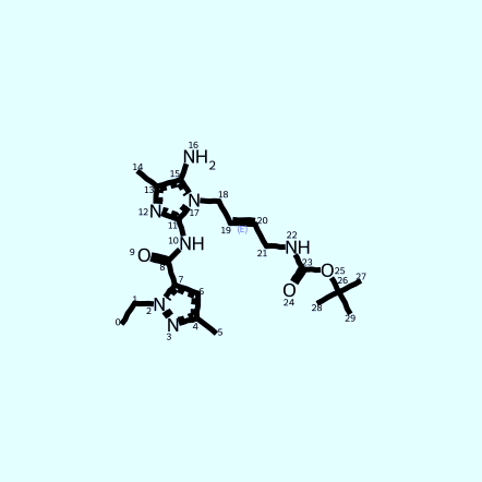 CCn1nc(C)cc1C(=O)Nc1nc(C)c(N)n1C/C=C/CNC(=O)OC(C)(C)C